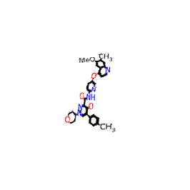 COc1cc2c(Oc3ccc(NC(=O)c4nn(C5CCOCC5)cc(-c5ccc(C)cc5)c4=O)nc3)ccnc2cc1C